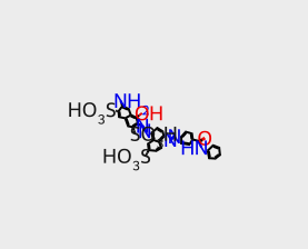 Nc1cc2c(O)c(N=Nc3ccc(N=Nc4ccc(C(=O)Nc5ccccc5)cc4)c4ccc(S(=O)(=O)O)cc34)c(S(=O)(=O)O)cc2cc1S(=O)(=O)O